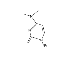 C=C1N=C(N(C)C)C=CN1C(C)C